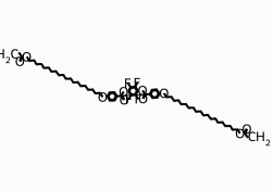 C=CC(=O)OCCCCCCCCCCCCCCCCCCCCOc1ccc(C(=O)Oc2c(F)c(F)c(OC(=O)c3ccc(OCCCCCCCCCCCCCCCCCCCCOC(=O)C=C)cc3)c(F)c2F)cc1